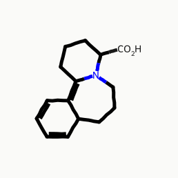 O=C(O)C1CCCC2=C3C=CC=CC3CCCN21